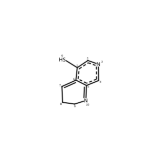 Sc1cncc2c1=CCCN=2